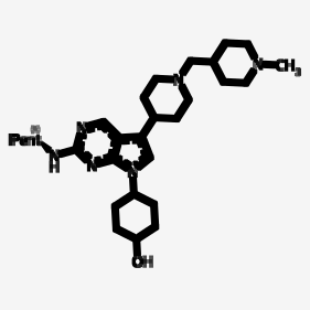 CCC[C@H](C)Nc1ncc2c(C3CCN(CC4CCN(C)CC4)CC3)cn(C3CCC(O)CC3)c2n1